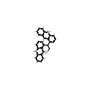 [CH2]CC(c1cccc2nc3ccccc3cc12)c1cccc2nc3ccccc3cc12